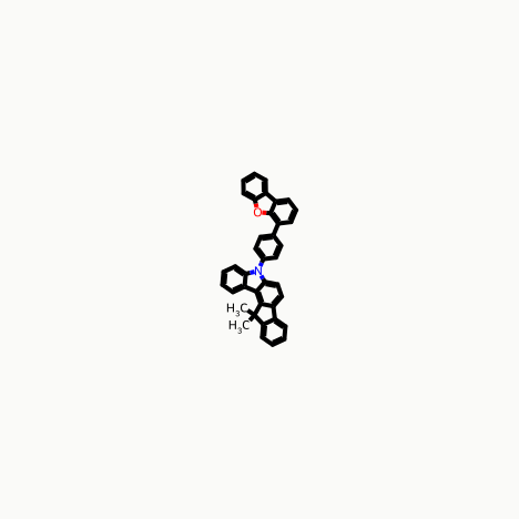 CC1(C)c2ccccc2-c2ccc3c(c21)c1ccccc1n3-c1ccc(-c2cccc3c2oc2ccccc23)cc1